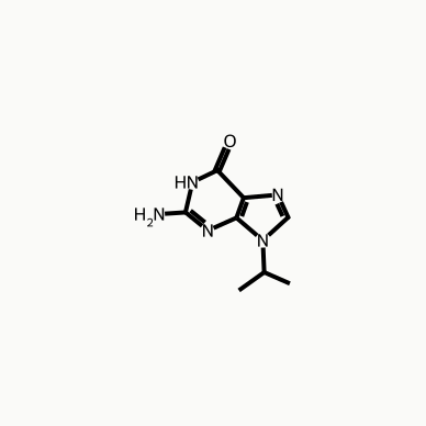 CC(C)n1cnc2c(=O)[nH]c(N)nc21